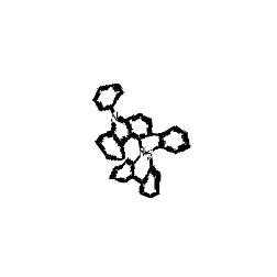 c1ccc(-n2c3ccccc3c3c4c(ccc32)-c2ccccc2B2c3ccccc3-c3ccccc3N24)cc1